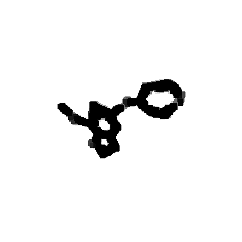 COc1cc(Sc2ccncc2)cc2ccoc12